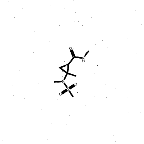 CNC(=O)C1CC1(C)N(C)S(C)(=O)=O